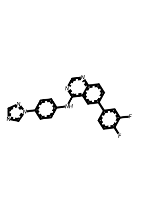 Fc1ccc(-c2ccc3ncnc(Nc4ccc(-n5cncn5)cc4)c3c2)cc1F